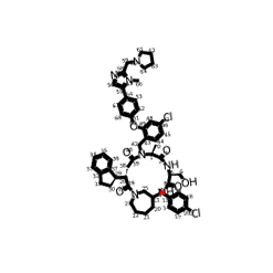 C[C@H]1C(=O)N[C@@H](CO)C(=O)N[C@@]2(Cc3ccc(Cl)cc3)CCCCN(C2)C(=O)[C@H]([C@H]2CCc3ccccc32)CC(=O)N1Cc1ccc(Cl)cc1Oc1ccc(-c2cnc(CN3CCCC3)n2C)cc1